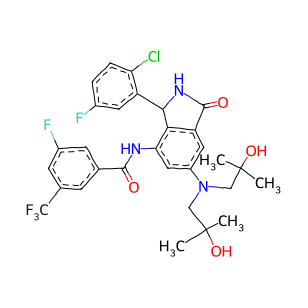 CC(C)(O)CN(CC(C)(C)O)c1cc(NC(=O)c2cc(F)cc(C(F)(F)F)c2)c2c(c1)C(=O)NC2c1cc(F)ccc1Cl